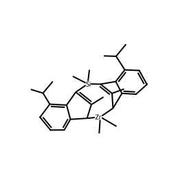 CC1=C2c3c(C(C)C)cccc3[CH]1[Zr]([CH3])([CH3])[CH]1C(C)=C(c3c(C(C)C)cccc31)[Si]2(C)C